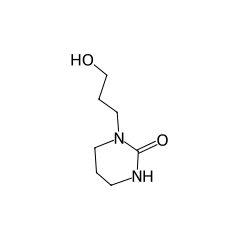 O=C1NCCCN1CCCO